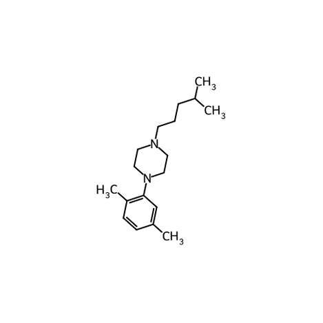 Cc1ccc(C)c(N2CCN(CCCC(C)C)CC2)c1